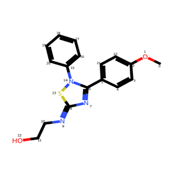 COc1ccc(-c2nc(=NCCO)sn2-c2ccccc2)cc1